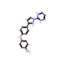 FC(F)(F)c1ccc(Oc2ccc(-c3ccn(-c4ncccn4)n3)cc2)cc1